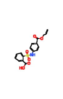 C=CCOC(=O)c1ccc(NS(=O)(=O)c2ccccc2C(=O)O)cc1